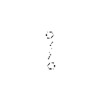 [CH](C=Cc1ccccc1)CCCc1ccccc1